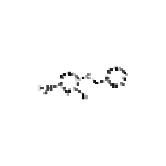 Nc1ccc(OCc2ccccc2)c(Br)n1